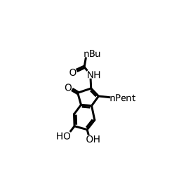 CCCCCC1=C(NC(=O)CCCC)C(=O)c2cc(O)c(O)cc21